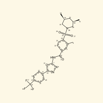 Cc1cc(C(=O)Nc2nnc(-c3ccc(C(F)(F)F)cc3)o2)ccc1S(=O)(=O)N1C[C@H](C)C[C@H](C)C1